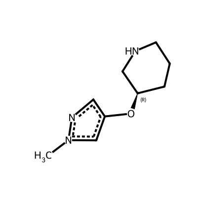 Cn1cc(O[C@@H]2CCCNC2)cn1